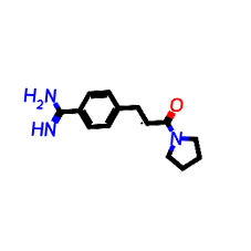 N=C(N)c1ccc(C[CH]C(=O)N2CCCC2)cc1